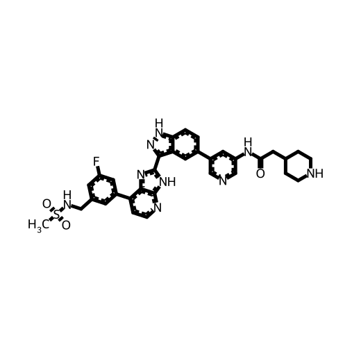 CS(=O)(=O)NCc1cc(F)cc(-c2ccnc3[nH]c(-c4n[nH]c5ccc(-c6cncc(NC(=O)CC7CCNCC7)c6)cc45)nc23)c1